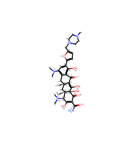 CN1CCN(Cc2ccc(-c3cc(N(C)C)c4c(c3O)C(=O)C3=C(O)[C@]5(O)C(=O)C(C(N)=O)=C(O)[C@@H](N(C)C)[C@@H]5C[C@@H]3C4)o2)CC1